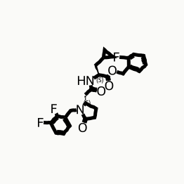 O=C(C[C@@H]1CCC(=O)N1Cc1cccc(F)c1F)N[C@@H](CC1CC1)C(=O)OCc1ccccc1F